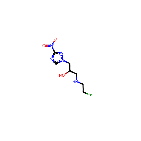 O=[N+]([O-])c1ncn(CC(O)CNCCBr)n1